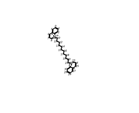 c1ccc2c(c1)ccc[n+]2CCCCCCCCCCCC[n+]1cccc2ccccc21